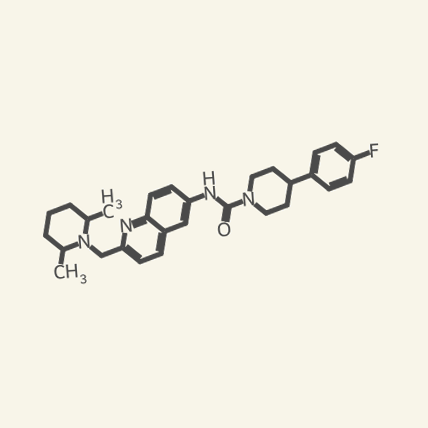 CC1CCCC(C)N1Cc1ccc2cc(NC(=O)N3CCC(c4ccc(F)cc4)CC3)ccc2n1